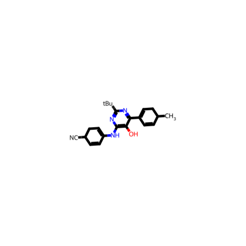 CC1C=CC(c2nc(C(C)(C)C)nc(NC3=CCC(C#N)C=C3)c2O)=CC1